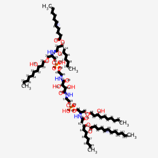 CCCCC/C=C/CCCC(=O)O[C@H](CCCCCCC)CC(=O)NC(COCC[C@H](O)CCCCCCC)COP(=O)(O)OCCNC(=O)[C@@H](O)[C@H](O)C(=O)NCCOP(=O)(O)OCC(COCC[C@H](O)CCCCCCC)NC(=O)C[C@@H](CCCCCCC)OC(=O)CCC/C=C/CCCCCC